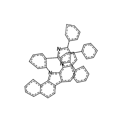 c1ccc(-c2nc(-c3ccccc3-n3c4c5ccccc5ccc4c4ccc5ccccc5c43)nc(-c3ccccc3)c2-c2ccccc2)cc1